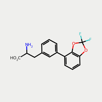 NC(Cc1cccc(-c2cccc3c2OC(F)(F)O3)c1)C(=O)O